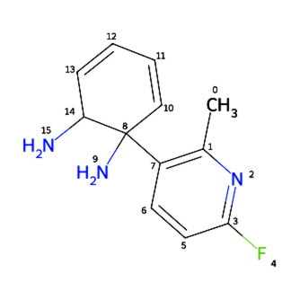 Cc1nc(F)ccc1C1(N)C=CC=CC1N